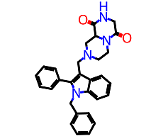 O=C1NCC(=O)N2CCN(Cc3c(-c4ccccc4)n(Cc4ccccc4)c4ccccc34)CC12